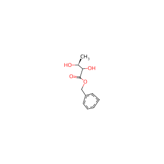 C[C@H](O)C(O)C(=O)OCc1ccccc1